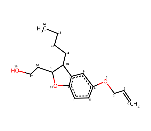 C=CCOc1ccc2c(c1)C(CCCC)C(CCO)O2